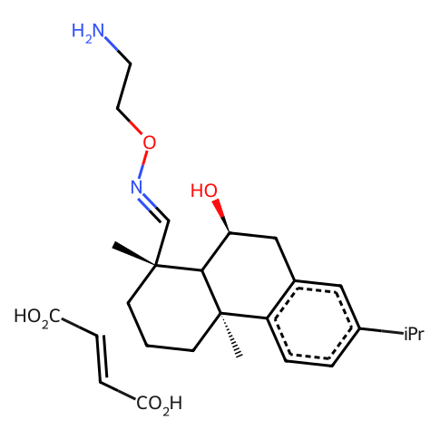 CC(C)c1ccc2c(c1)C[C@H](O)C1[C@@](C)(/C=N/OCCN)CCC[C@]21C.O=C(O)/C=C/C(=O)O